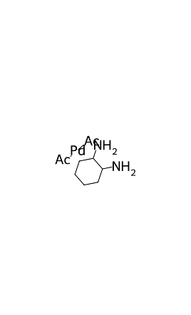 C[C](=O)[Pd][C](C)=O.NC1CCCCC1N